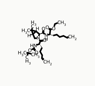 C=CCCCC[C@H](NC(=O)[C@@H]1[C@@H]2[C@H](CN1C(=O)[C@H](CCCC=C)NC(=O)OC(C)(C)C)C2(C)C)C(=O)OCC